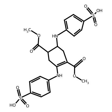 COC(=O)C1=C(Nc2ccc(S(=O)(=O)O)cc2)CC(C(=O)OC)C(Nc2ccc(S(=O)(=O)O)cc2)C1